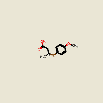 COc1ccc(S[C@@H](C)CC(=O)O)cc1